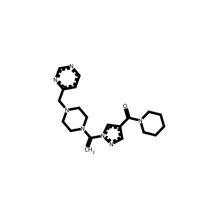 C=C(N1CCN(Cc2ccncn2)CC1)n1cc(C(=O)N2CCCCC2)cn1